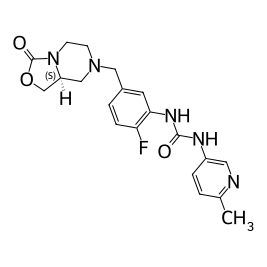 Cc1ccc(NC(=O)Nc2cc(CN3CCN4C(=O)OC[C@@H]4C3)ccc2F)cn1